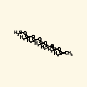 C[SiH2]O[SiH2]O[SiH2]O[SiH2]O[SiH2]O[SiH2]O[SiH3]